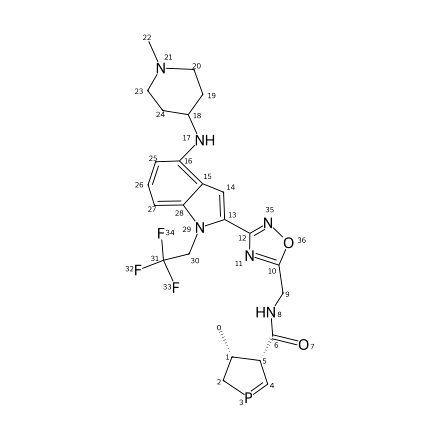 C[C@H]1CP=C[C@H]1C(=O)NCc1nc(-c2cc3c(NC4CCN(C)CC4)cccc3n2CC(F)(F)F)no1